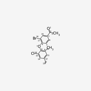 CC(=O)c1ccc(Oc2c(C)cc(F)cc2Cl)c(Br)c1